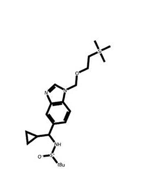 CC(C)(C)[S+]([O-])NC(c1ccc2c(c1)ncn2COCC[Si](C)(C)C)C1CC1